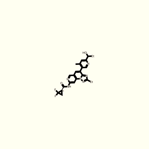 CCc1nc2c(-c3cnc(C(O)CC)cc3C)cc3cnc(NC(=O)[C@H]4CC4(F)F)cc3n2n1